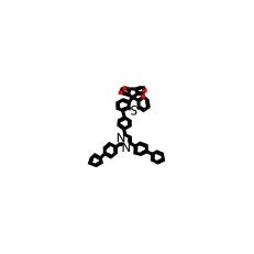 c1ccc(-c2ccc(-c3cc(-c4ccc(-c5cccc6c5Sc5ccccc5C65c6ccccc6-c6ccccc65)cc4)nc(-c4ccc(-c5ccccc5)cc4)n3)cc2)cc1